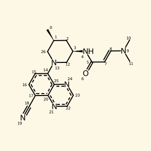 C[C@H]1C[C@@H](NC(=O)/C=C/N(C)C)CN(c2ccc(C#N)c3nccnc23)C1